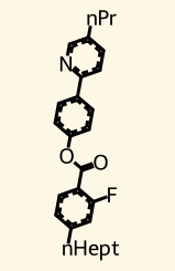 CCCCCCCc1ccc(C(=O)Oc2ccc(-c3ccc(CCC)cn3)cc2)c(F)c1